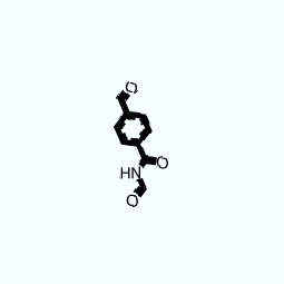 O=CNC(=O)c1ccc(C=O)cc1